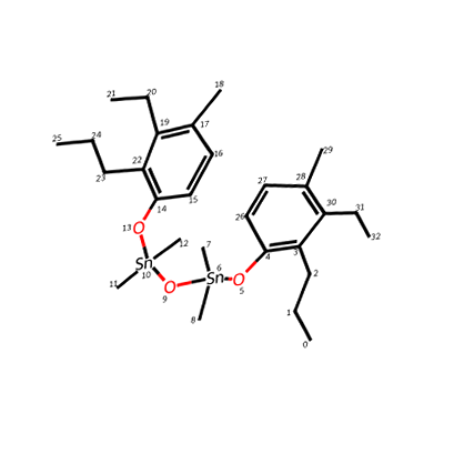 CCCc1c([O][Sn]([CH3])([CH3])[O][Sn]([CH3])([CH3])[O]c2ccc(C)c(CC)c2CCC)ccc(C)c1CC